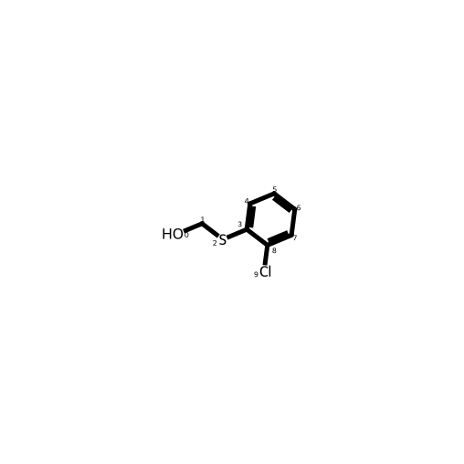 OCSc1ccccc1Cl